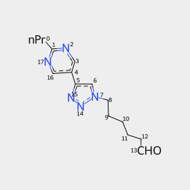 CCCc1ncc(-c2cn(CCCCCC=O)nn2)cn1